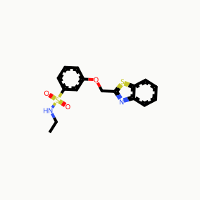 CCNS(=O)(=O)c1cccc(OCc2nc3ccccc3s2)c1